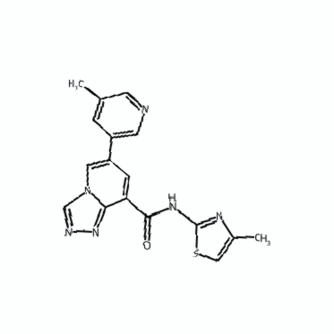 Cc1cncc(-c2cc(C(=O)Nc3nc(C)cs3)c3nncn3c2)c1